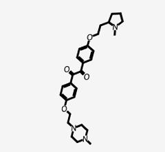 CN1CCN(CCOc2ccc(C(=O)C(=O)c3ccc(OCCC4CCCN4C)cc3)cc2)CC1